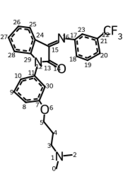 CN(C)CCCOc1cccc(N2C(=O)C(=Nc3cccc(C(F)(F)F)c3)c3ccccc32)c1